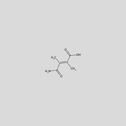 C/C(C(N)=O)=C(/C)C(=O)O